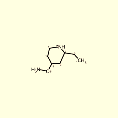 CCC1CC(ON)CCN1